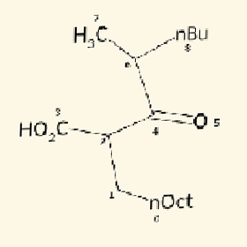 CCCCCCCCCC(C(=O)O)C(=O)C(C)CCCC